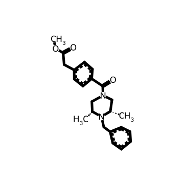 COC(=O)Cc1ccc(C(=O)N2C[C@@H](C)N(Cc3ccccc3)[C@@H](C)C2)cc1